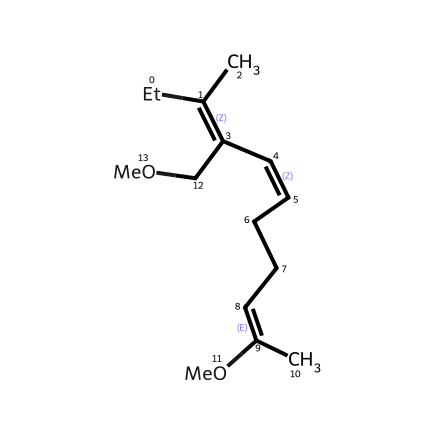 CC/C(C)=C(/C=C\CC/C=C(\C)OC)COC